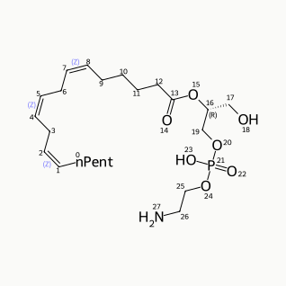 CCCCC/C=C\C/C=C\C/C=C\CCCCC(=O)O[C@H](CO)COP(=O)(O)OCCN